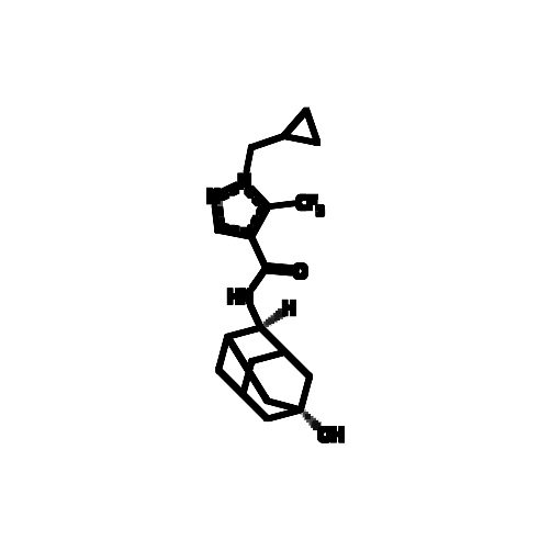 O=C(N[C@H]1C2CC3CC1C[C@](O)(C3)C2)c1cnn(CC2CC2)c1C(F)(F)F